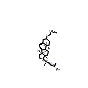 COCOC1CC[C@@]2(C)C(=CC=C3[C@@H]4CC[C@H]([C@H](C)/C=C/[C@H](C)C(C)C)[C@@]4(C)CC[C@@H]32)C1